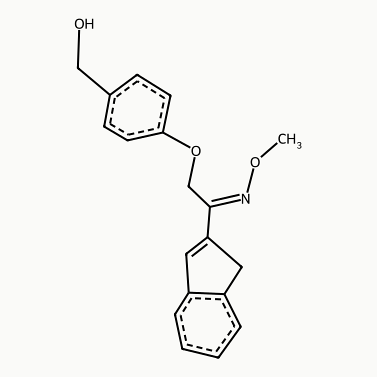 CO/N=C(\COc1ccc(CO)cc1)C1=Cc2ccccc2C1